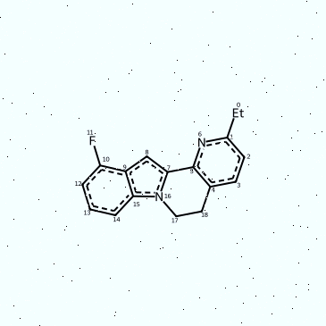 CCc1ccc2c(n1)-c1cc3c(F)cccc3n1CC2